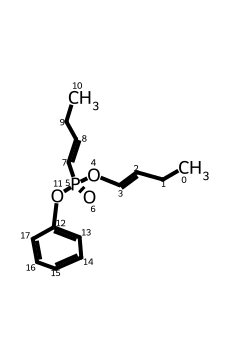 CCC=COP(=O)(C=CCC)Oc1ccccc1